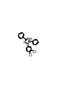 Clc1ccc(N2N=C(c3ccccc3)NN2c2ccccc2)cc1Cl